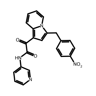 O=C(Nc1cccnc1)C(=O)c1cc(Cc2ccc([N+](=O)[O-])cc2)n2ccccc12